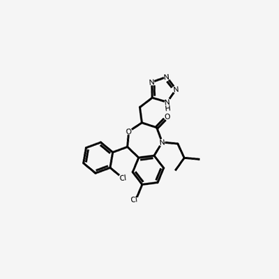 CC(C)CN1C(=O)C(Cc2nnn[nH]2)OC(c2ccccc2Cl)c2cc(Cl)ccc21